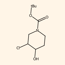 CC(C)(C)OC(=O)N1CCC(O)C(Cl)C1